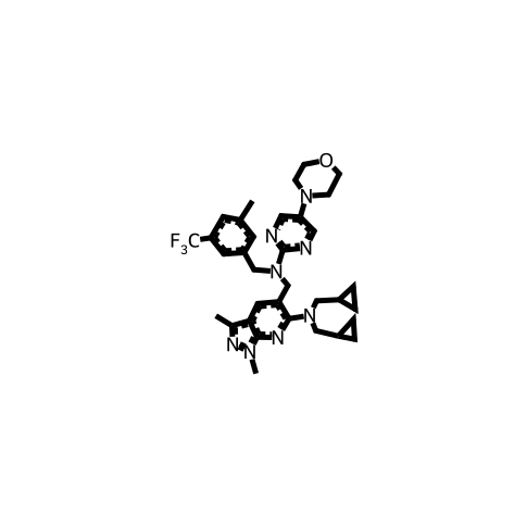 Cc1cc(CN(Cc2cc3c(C)nn(C)c3nc2N(CC2CC2)CC2CC2)c2ncc(N3CCOCC3)cn2)cc(C(F)(F)F)c1